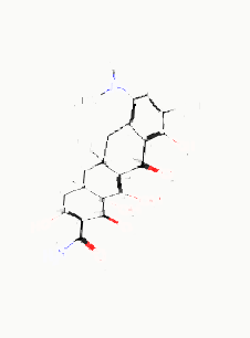 CN(C)c1cc(C(=O)O)c(O)c2c1C[C@H]1C[C@H]3CC(O)=C(C(N)=O)C(=O)[C@@]3(O)C(O)=C1C2=O